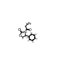 CC(C)CC(=O)N1C(=O)OCC1c1ccccc1